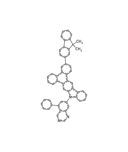 CC1(C)c2ccccc2-c2ccc(-c3ccc4c(c3)c3ccccc3c3cc5c(cc43)c3ccccc3n5-c3cc(-c4ccccc4)c4cncnc4c3)cc21